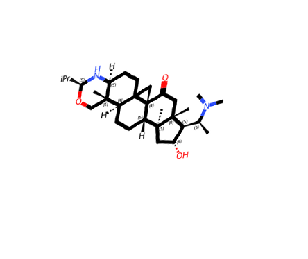 CC(C)[C@H]1N[C@H]2CCC34C[C@]35C(=O)C[C@]3(C)[C@@H]([C@H](C)N(C)C)[C@H](O)C[C@@]3(C)[C@@H]5CC[C@H]4[C@]2(C)CO1